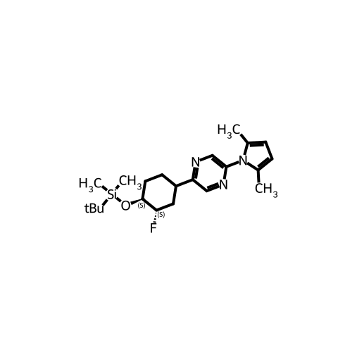 Cc1ccc(C)n1-c1cnc(C2CC[C@H](O[Si](C)(C)C(C)(C)C)[C@@H](F)C2)cn1